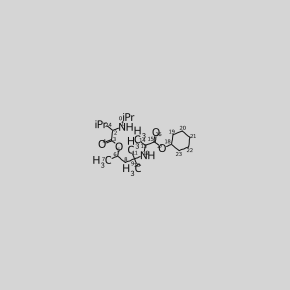 CC(C)NC(C(=O)OC(C)CC(C)(C)NC(C)C(=O)OC1CCCCC1)C(C)C